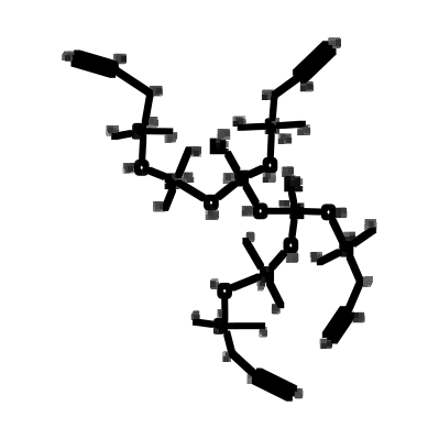 C#CC[Si](C)(C)O[Si](C)(C)O[Si](CC)(O[Si](C)(C)CC#C)O[Si](CC)(O[Si](C)(C)CC#C)O[Si](C)(C)O[Si](C)(C)CC#C